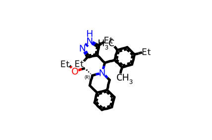 CCOC[C@H]1Cc2ccccc2CN1C(c1c(C)cc(CC)cc1C)c1c(CC)n[nH]c1CC